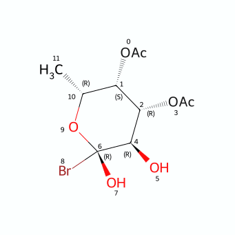 CC(=O)O[C@@H]1[C@H](OC(C)=O)[C@@H](O)[C@](O)(Br)O[C@@H]1C